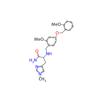 COc1cc(OCc2ccccc2OC)ccc1CNC(Cc1cn(C)cn1)C(N)=O